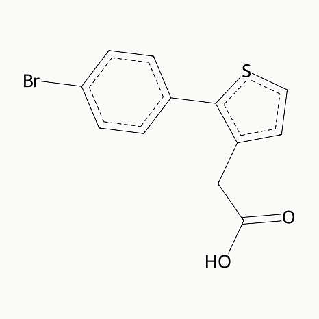 O=C(O)Cc1ccsc1-c1ccc(Br)cc1